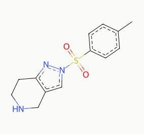 Cc1ccc(S(=O)(=O)n2cc3c(n2)CCNC3)cc1